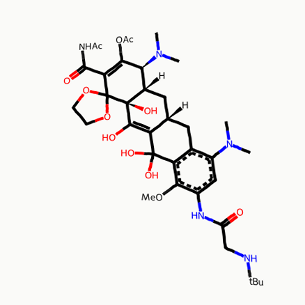 COc1c(NC(=O)CNC(C)(C)C)cc(N(C)C)c2c1C(O)(O)C1=C(O)[C@@]3(O)[C@@H](C[C@@H]1C2)[C@H](N(C)C)C(OC(C)=O)=C(C(=O)NC(C)=O)C31OCCO1